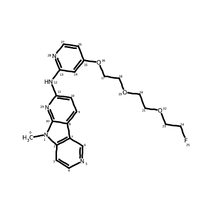 Cn1c2ccncc2c2ccc(Nc3cc(OCCOCCOCCF)ccn3)nc21